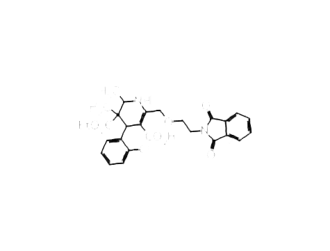 CCOC(=O)C1(C)C(C)NC(COCCN2C(=O)c3ccccc3C2=O)=C(C(=O)O)C1c1ccccc1Cl